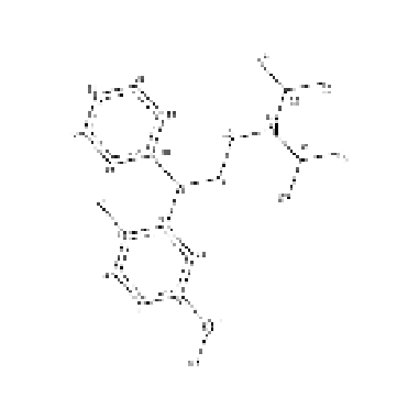 COc1ccc(C)c(C(CCN(C(C)C)C(C)C)c2ccccc2)c1